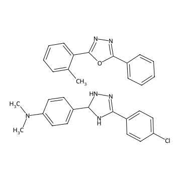 CN(C)c1ccc(C2NN=C(c3ccc(Cl)cc3)N2)cc1.Cc1ccccc1-c1nnc(-c2ccccc2)o1